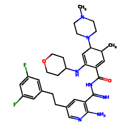 CC1C=C(C(=O)NC(=N)c2cc(CCc3cc(F)cc(F)c3)cnc2N)C(NC2CCOCC2)=CC1N1CCN(C)CC1